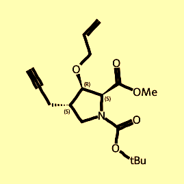 C#CC[C@H]1CN(C(=O)OC(C)(C)C)[C@H](C(=O)OC)[C@@H]1OCC=C